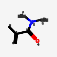 C=C(C)C(=O)N(CCCC)CCCC